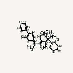 C=NC(N)(c1noc(C(C)c2ccc(-c3ccccc3)c(F)c2)c1CO)N1CCCCC1